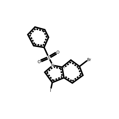 O=S(=O)(c1ccccc1)n1cc(I)c2ccc(Br)cc21